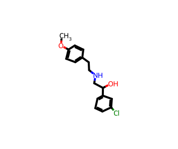 COc1ccc(CCNCC(O)c2cccc(Cl)c2)cc1